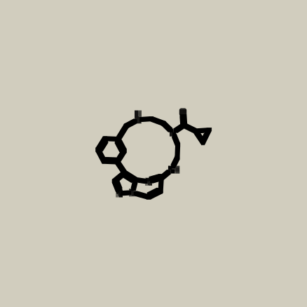 O=C(C1CC1)N1CCNCc2cccc(c2)-c2cnn3ccc(nc23)NCC1